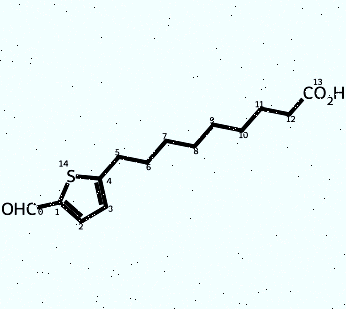 O=Cc1ccc(CCCCCCCCC(=O)O)s1